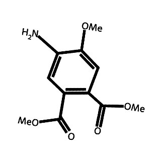 COC(=O)c1cc(N)c(OC)cc1C(=O)OC